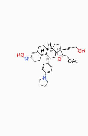 CC(=O)OCC(=O)[C@@]1(C#CCO)CC[C@H]2[C@@H]3CCC4=CC(=NO)CCC4=C3[C@@H](c3ccc(N4CCCC4)cc3)C[C@@]21C